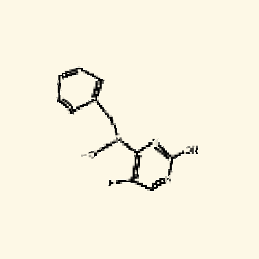 Oc1ncc(F)c(N(O)Cc2ccccc2)n1